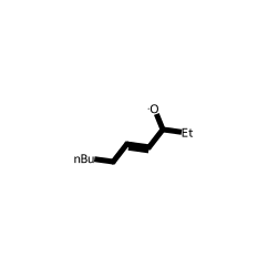 CCCCC/C=C/C([O])CC